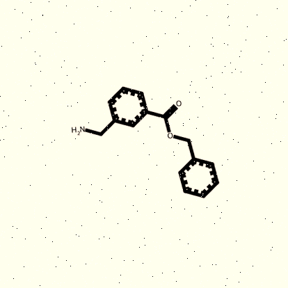 NCc1cccc(C(=O)OCc2ccccc2)c1